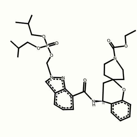 CCOC(=O)N1CCC2(CC1)C[C@H](NC(=O)c1cccc3cn(COP(=O)(OCC(C)C)OCC(C)C)nc13)c1ccccc1O2